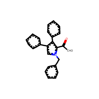 O=CC(=O)c1c(-c2ccccc2)c(-c2ccccc2)cn1Cc1ccccc1